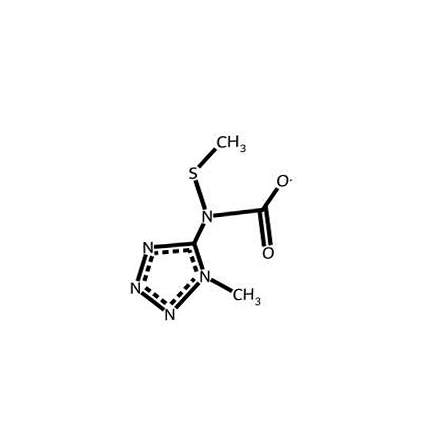 CSN(C([O])=O)c1nnnn1C